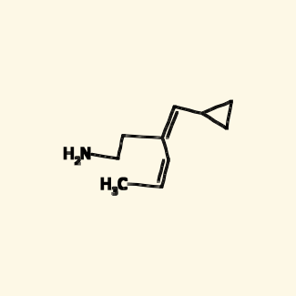 C/C=C\C(=C/C1CC1)CCN